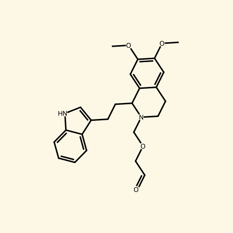 COc1cc2c(cc1OC)C(CCc1c[nH]c3ccccc13)N(COCC=O)CC2